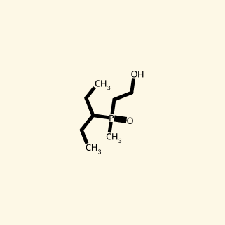 CCC(CC)P(C)(=O)CCO